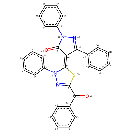 O=C(C1=NN(c2ccccc2)/C(=C2\C(=O)N(c3ccccc3)N=C2c2ccccc2)S1)c1ccccc1